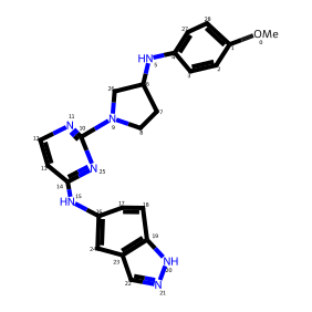 COc1ccc(NC2CCN(c3nccc(Nc4ccc5[nH]ncc5c4)n3)C2)cc1